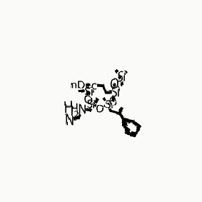 CCCCCCCCCCCC[Si](C)(O[Si](C)(C)C)O[Si](C)(CC(C)c1ccccc1)O[Si](C)(CNCN)O[Si](C)(C)C